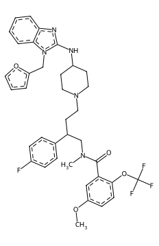 COc1ccc(OC(F)(F)F)c(C(=O)N(C)CC(CCN2CCC(Nc3nc4ccccc4n3Cc3ccco3)CC2)c2ccc(F)cc2)c1